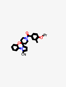 Cc1cc(C(=O)N2CCC3(CC2)Oc2ccccc2-n2c(C#N)ccc23)ccc1OC(C)C